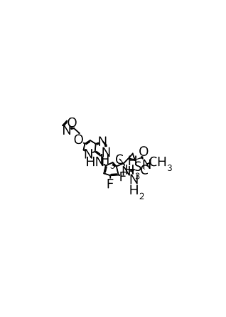 CN(C)C(=O)[C@]12C[C@H]1[C@@](C)(c1cc(Nc3ncnc4cc(OCc5ncco5)cnc34)cc(F)c1F)N=C(N)S2